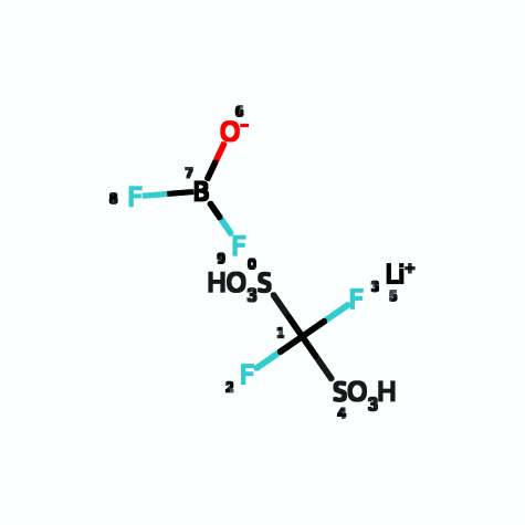 O=S(=O)(O)C(F)(F)S(=O)(=O)O.[Li+].[O-]B(F)F